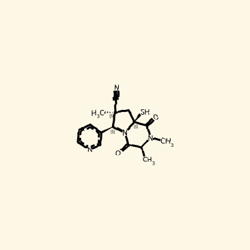 CC1C(=O)N2[C@@H](c3cccnc3)[C@@](C)(C#N)C[C@]2(S)C(=O)N1C